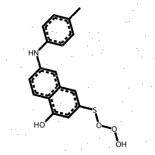 Cc1ccc(Nc2ccc3c(O)cc(SOOO)cc3c2)cc1